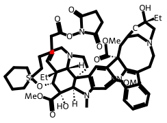 CC[C@]1(O)CC2CN(CCc3c([nH]c4ccccc34)[C@@](C(=O)OC)(c3cc4c(cc3OC)N(C)[C@H]3[C@@](O)(C(=O)OC)[C@H](O[Si]5(CCCCC(=O)ON6C(=O)CCC6=O)CCCCC5)[C@]5(CC)C=CCN6CC[C@]43[C@@H]65)C2)C1